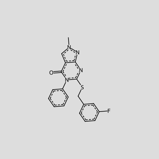 Cn1cc2c(=O)n(-c3ccccc3)c(SCc3cccc(F)c3)nc2n1